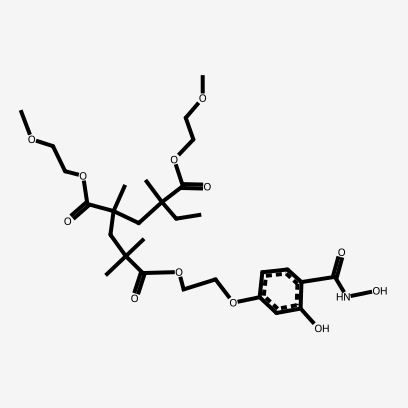 CCC(C)(CC(C)(CC(C)(C)C(=O)OCCOc1ccc(C(=O)NO)c(O)c1)C(=O)OCCOC)C(=O)OCCOC